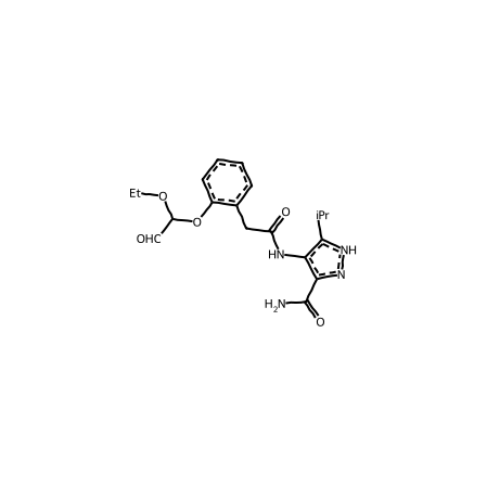 CCOC(C=O)Oc1ccccc1CC(=O)Nc1c(C(N)=O)n[nH]c1C(C)C